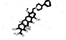 COc1c(CN2CCC(c3ccccc3)CC2)cc(O)c2c1CC1C[C@H]3CC(O)=C(C(N)=O)C(=O)[C@@]3(O)C(O)=C1C2=O